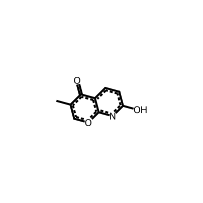 Cc1coc2nc(O)ccc2c1=O